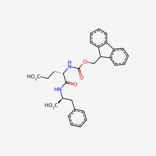 O=C(O)CC[C@H](NC(=O)OCC1c2ccccc2-c2ccccc21)C(=O)N[C@@H](Cc1ccccc1)C(=O)O